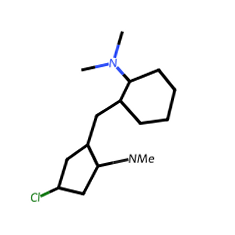 CNC1CC(Cl)CC1CC1CCCCC1N(C)C